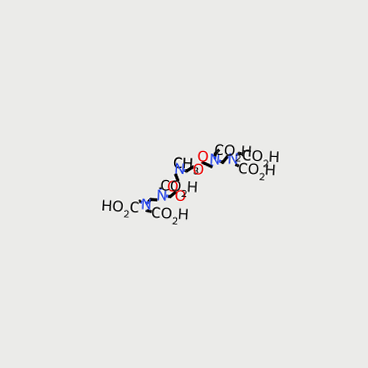 CN(CCOC(=O)CN(CCN(CC(=O)O)CC(=O)O)CC(=O)O)CCOC(=O)CN(CCN(CC(=O)O)CC(=O)O)CC(=O)O